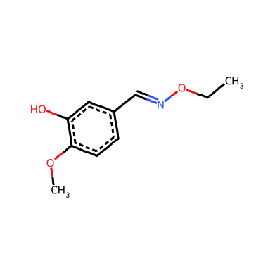 CCON=Cc1ccc(OC)c(O)c1